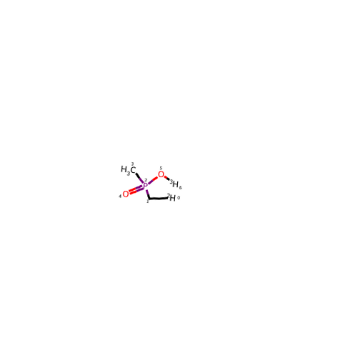 [2H]CP(C)(=O)O[3H]